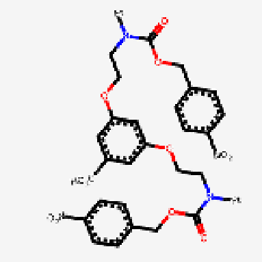 CCN(CCOc1cc(OCCN(CC)C(=O)OCc2ccc([N+](=O)[O-])cc2)cc(C(=O)O)c1)C(=O)OCc1ccc([N+](=O)[O-])cc1